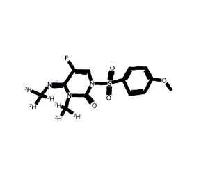 [2H]C([2H])([2H])/N=c1/c(F)cn(S(=O)(=O)c2ccc(OC)cc2)c(=O)n1C([2H])([2H])[2H]